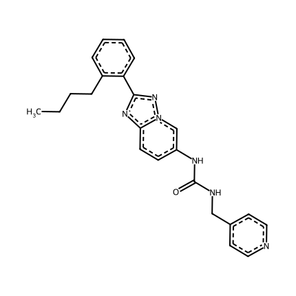 CCCCc1ccccc1-c1nc2ccc(NC(=O)NCc3ccncc3)cn2n1